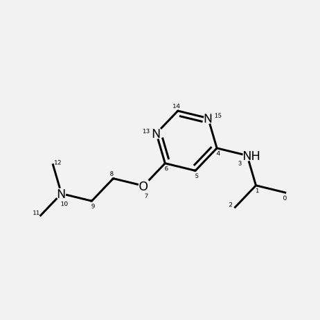 CC(C)Nc1cc(OCCN(C)C)ncn1